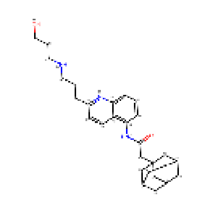 O=C(CC12CC3CC(CC(C3)C1)C2)Nc1cccc2nc(CCCNCCCO)ccc12